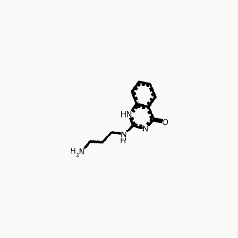 NCCCNc1nc(=O)c2ccccc2[nH]1